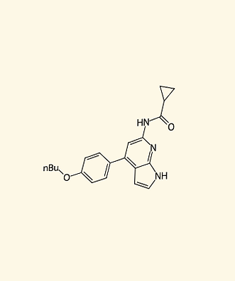 CCCCOc1ccc(-c2cc(NC(=O)C3CC3)nc3[nH]ccc23)cc1